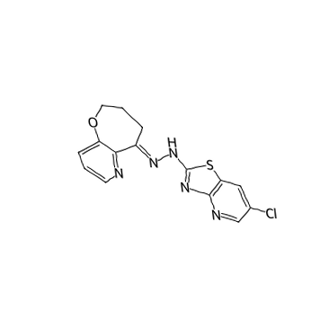 Clc1cnc2nc(N/N=C3\CCCOc4cccnc43)sc2c1